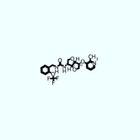 Cc1ncccc1O[C@H]1CO[C@H]2[C@@H]1OC[C@@H]2NC(=O)NCc1ccccc1OC(F)(F)F